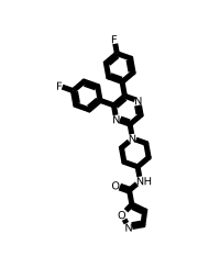 O=C(NC1CCN(c2cnc(-c3ccc(F)cc3)c(-c3ccc(F)cc3)n2)CC1)c1ccno1